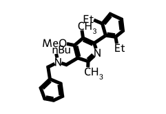 CCCCN(Cc1ccccc1)Cc1c(C)nc(-c2c(CC)cccc2CC)c(C)c1OC